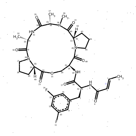 C/C=C/C(=O)N[C@@H](Cc1cc(F)cc(F)c1)C(=O)N[C@H]1COC(=O)[C@@H]2CCCN2C(=O)[C@H](C)NC(=O)[C@H](C)N(C)C(=O)[C@@H]2CCCN2C1=O